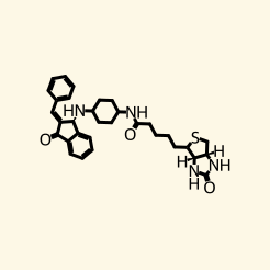 O=C(CCCCC1SC[C@@H]2NC(=O)N[C@H]12)NC1CCC(N[C@H]2/C(=C\c3ccccc3)C(=O)c3ccccc32)CC1